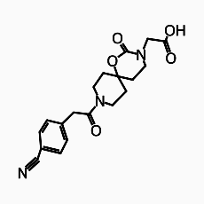 N#Cc1ccc(CC(=O)N2CCC3(CC2)CCN(CC(=O)O)C(=O)O3)cc1